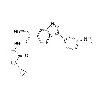 CC(N/C=C(\C=N)c1cnn2c(-c3cccc(N)c3)cnc2c1)C(=O)NC1CC1